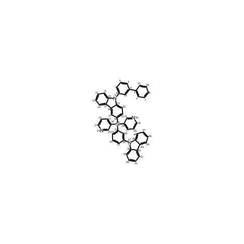 c1ccc(-c2cccc(-n3c4ccccc4c4cc([Si](c5cccnc5)(c5cccnc5)c5cccc(-n6c7ccccc7c7ccccc76)c5)ccc43)c2)cc1